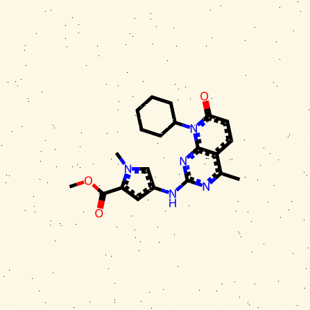 COC(=O)c1cc(Nc2nc(C)c3ccc(=O)n(C4CCCCC4)c3n2)cn1C